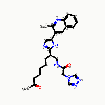 CNC(=O)CCCCCC(CNC(=O)Cn1cnnc1)c1ncc(-c2cc3ccccc3nc2OC)[nH]1